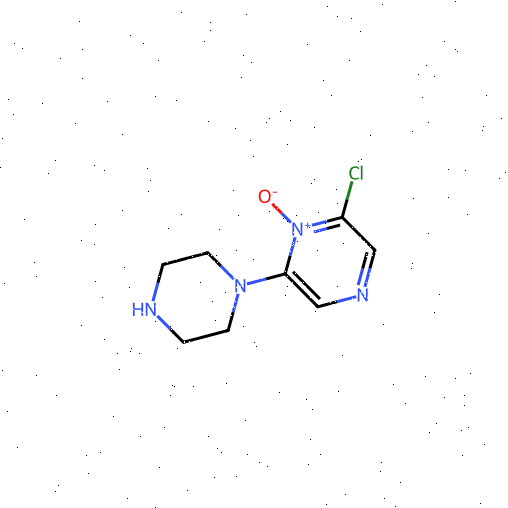 [O-][n+]1c(Cl)cncc1N1CCNCC1